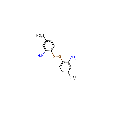 Nc1cc(S(=O)(=O)O)ccc1SSc1ccc(S(=O)(=O)O)cc1N